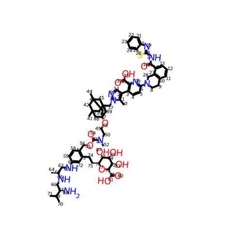 Cc1c(-c2ccc(N3CCc4cccc(C(=O)Nc5nc6ccccc6s5)c4C3)nc2C(=O)O)cnn1CC12CC3(C)CC(C)(C1)CC(OCCN(C)C(=O)OCc1ccc(NC[C@H](C)NC[C@@H](N)C(C)C)cc1CC[C@@H]1O[C@H](C(=O)O)[C@@H](O)[C@H](O)[C@H]1O)(C3)C2